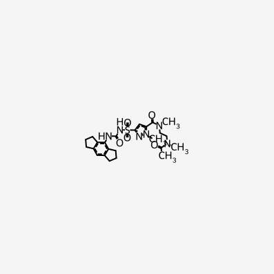 CC(=O)N(C)CCN(C)C(=O)c1cc(S(=O)(=O)NC(=O)Nc2c3c(cc4c2CCC4)CCC3)nn1C